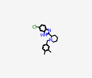 Cc1ccc(CN2CCCCC2c2nc3ccc(Cl)cc3[nH]2)cc1C